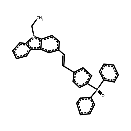 CCn1c2ccccc2c2cc(C=Cc3ccc(P(=O)(c4ccccc4)c4ccccc4)cc3)ccc21